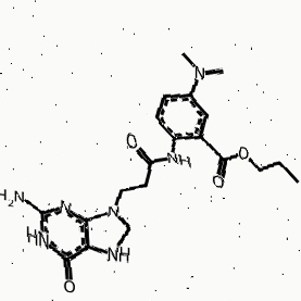 CCCOC(=O)c1cc(N(C)C)ccc1NC(=O)CCN1CNc2c1nc(N)[nH]c2=O